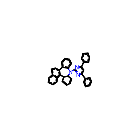 C1=CC2c3c(ccc4ccccc34)-c3ccccc3N(c3nc(-c4ccccc4)cc(-c4ccccc4)n3)C2C=C1